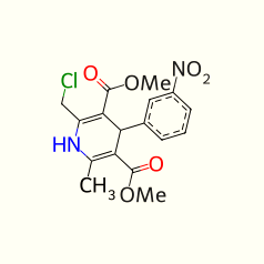 COC(=O)C1=C(C)NC(CCl)=C(C(=O)OC)C1c1cccc([N+](=O)[O-])c1